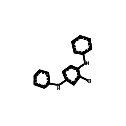 Clc1cc(Nc2ccccc2)ccc1Nc1ccccc1